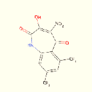 O=c1[nH]c2cc(C(F)(F)F)cc(C(F)(F)F)c2c(=O)c([N+](=O)[O-])c1O